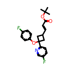 CC(C)(C)OC(=O)/C=C/C1CC(Oc2ccc(F)cc2)(c2ccc(F)cn2)C1